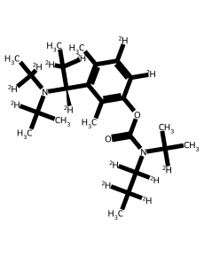 [2H]c1c([2H])c(OC(=O)N(C([2H])(C)C)C([2H])([2H])C([2H])([2H])C)c(C)c([C@]([2H])(N(C([2H])([2H])C)C([2H])(C)C)C([2H])([2H])C)c1C